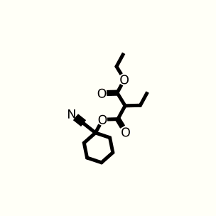 CCOC(=O)C(CC)C(=O)OC1(C#N)CCCCC1